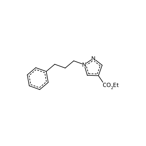 CCOC(=O)c1cnn(CCCc2ccccc2)c1